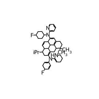 CC(C)C1CC(N(C2=CCC(F)C=C2)C2=CCCCN2)=C2CC3C4=C(C=C(N(c5ccccn5)C5CCC(F)CC5)C5C=CC1C2C45)CCC3(C)C